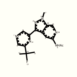 CC(=O)Nc1cc2c(-c3cncc(C(C)(C)F)n3)nn(C)c2cn1